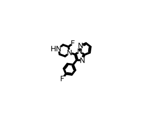 Fc1ccc(-c2nc3cccnn3c2N2CCNCC2F)cc1